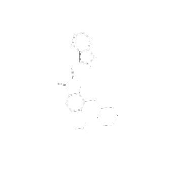 O=C1/C(=C/c2n[nH]c3ncccc23)Oc2c1ccc(OC(F)F)c2CC1CCCCC1